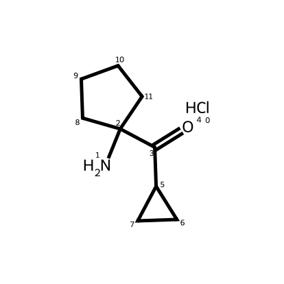 Cl.NC1(C(=O)C2CC2)CCCC1